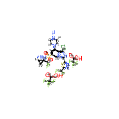 C[C@@H]1CN(c2cc(S(=O)(=O)NC3(CF)CC3)cn3c(-c4nnc(C(F)F)s4)nc(Cl)c23)CCN1.O=C(O)C(F)(F)F.O=C(O)C(F)(F)F